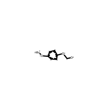 CCCCOc1ccc(OC[O])cc1